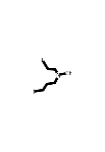 CCN(CCI)CCCI